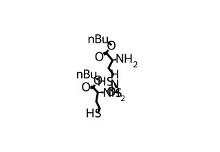 CCCCOC(=O)[C@@H](N)CCS.CCCCOC(=O)[C@@H](N)CCS.[nH]1os1